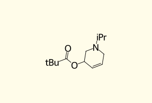 CC(C)N1CC=CC(OC(=O)C(C)(C)C)C1